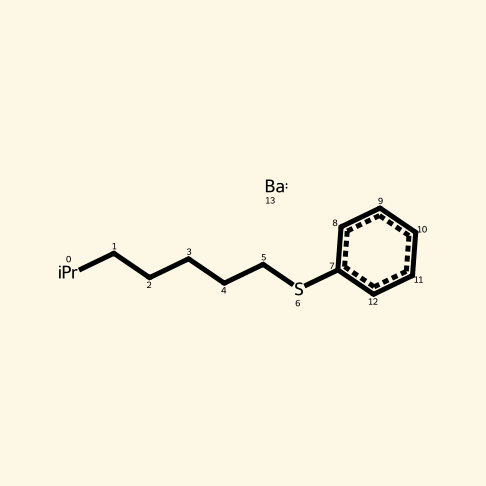 CC(C)CCCCCSc1ccccc1.[Ba]